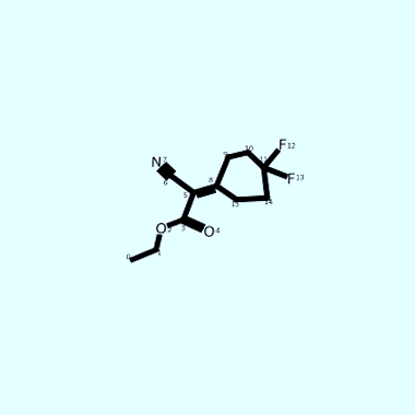 CCOC(=O)C(C#N)=C1CCC(F)(F)CC1